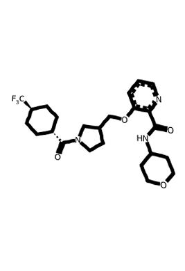 O=C(NC1CCOCC1)c1ncccc1OCC1CCN(C(=O)[C@H]2CC[C@H](C(F)(F)F)CC2)C1